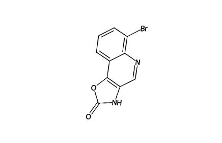 O=c1[nH]c2cnc3c(Br)cccc3c2o1